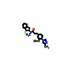 COc1cc(/C=C/C(=O)N(C)C2Cc3ccccc3[C@@H]2F)ccc1-n1cnc(C)c1